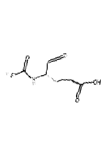 CC(=O)N[C@H](C=O)CCC(=O)O